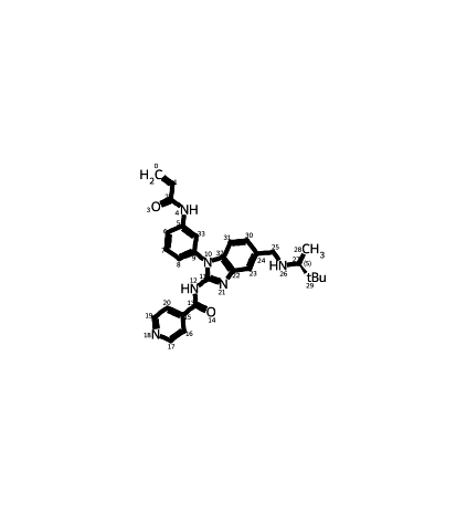 C=CC(=O)Nc1cccc(-n2c(NC(=O)c3ccncc3)nc3cc(CN[C@@H](C)C(C)(C)C)ccc32)c1